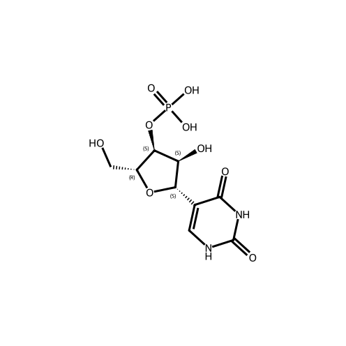 O=c1[nH]cc([C@@H]2O[C@H](CO)[C@@H](OP(=O)(O)O)[C@H]2O)c(=O)[nH]1